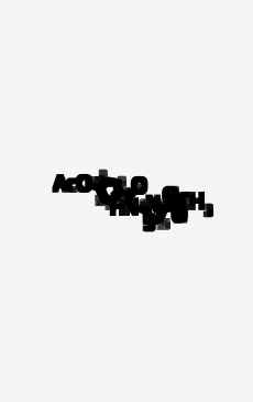 CC(=O)Oc1ccc(C(=O)Nc2nc(S(C)(=O)=O)cs2)cc1